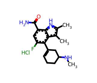 CNC1CCC=C(c2c(F)cc(C(N)=O)c3[nH]c(C)c(C)c23)C1.Cl